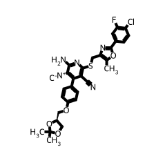 [C-]#[N+]c1c(N)nc(SCc2nc(-c3ccc(Cl)c(F)c3)oc2C)c(C#N)c1-c1ccc(OC[C@H]2COC(C)(C)O2)cc1